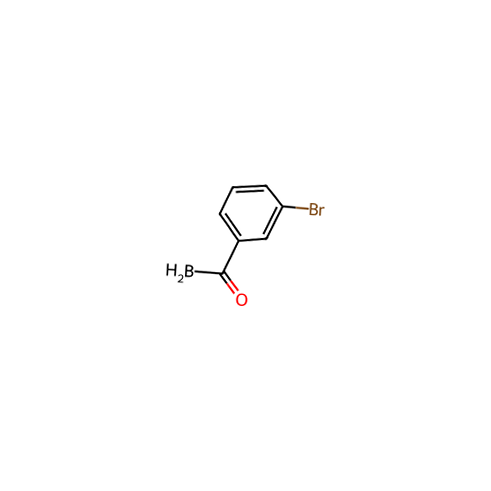 BC(=O)c1cccc(Br)c1